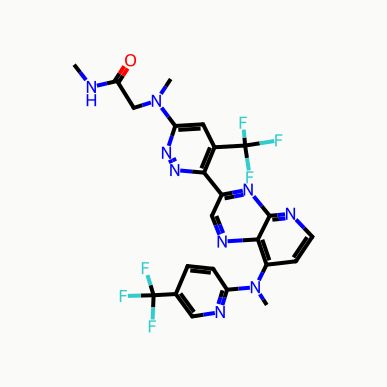 CNC(=O)CN(C)c1cc(C(F)(F)F)c(-c2cnc3c(N(C)c4ccc(C(F)(F)F)cn4)ccnc3n2)nn1